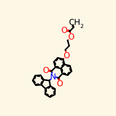 C=CC(=O)OCCCOc1ccc2c3c(cccc13)C(=O)N(C1c3ccccc3-c3ccccc31)C2=O